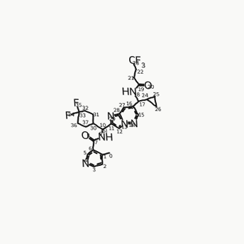 Cc1ccncc1C(=O)N[C@H](c1cn2ncc(C(NC(=O)CCC(F)(F)F)C3CC3)cc2n1)C1CCC(F)(F)CC1